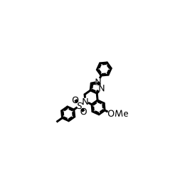 COc1ccc2c(c1)-c1nn(-c3ccccc3)cc1CN2S(=O)(=O)c1ccc(C)cc1